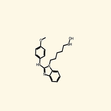 COc1ccc(Nc2nc3ccccc3n2CCCCCBO)cc1